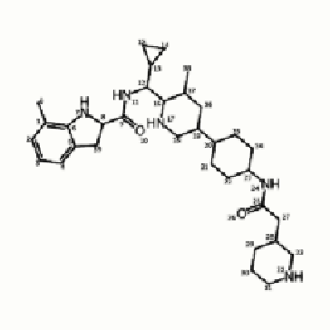 Cc1cccc2c1NC(C(=O)NC(C1CC1)C1NCC(C3CCC(NC(=O)CC4CCCNC4)CC3)CC1C)C2